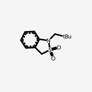 CC(C)(C)CN1c2ccccc2CS1(=O)=O